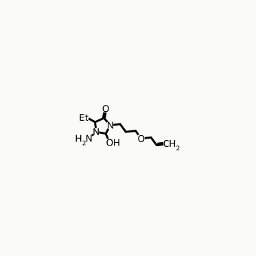 C=CCOCCCN1C(=O)C(CC)N(N)C1O